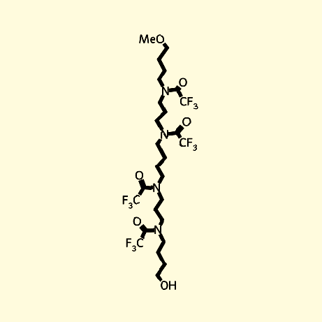 COCCCCN(CCCN(CCCCN(CCCN(CCCCO)C(=O)C(F)(F)F)C(=O)C(F)(F)F)C(=O)C(F)(F)F)C(=O)C(F)(F)F